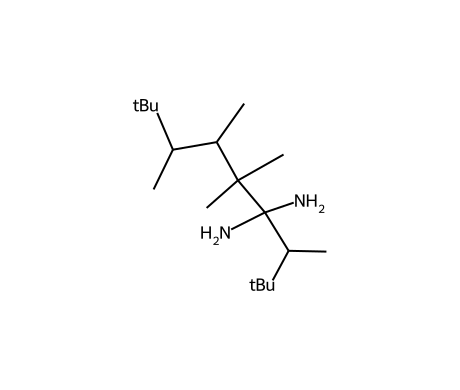 CC(C(C)C(C)(C)C(N)(N)C(C)C(C)(C)C)C(C)(C)C